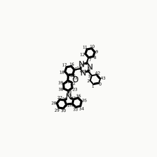 C1=CCC(c2nc(-c3ccccc3)nc(-c3cccc4c3oc3cc(-n5c6ccccc6c6ccccc65)ccc34)n2)C=C1